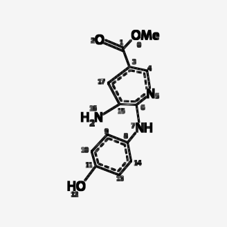 COC(=O)c1cnc(Nc2ccc(O)cc2)c(N)c1